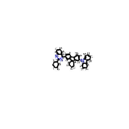 c1ccc(-c2nc(-c3ccc4c(c3)C3(CCCCC3)c3cc(-n5c6ccccc6c6ccccc65)ccc3-4)c3ccccc3n2)cc1